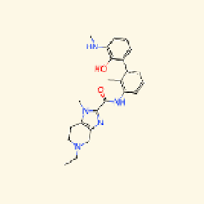 CCN1CCc2c(nc(C(=O)Nc3cccc(-c4cccc(NC)c4O)c3C)n2C)C1